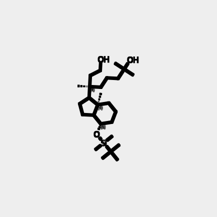 CC(C)(O)CCC[C@](C)(CCO)C1CCC2[C@@H](O[Si](C)(C)C(C)(C)C)CCC[C@@]21C